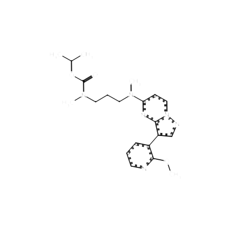 COc1ncccc1-c1cnn2ccc(N(C)CCCN(C)C(=O)OC(C)C)nc12